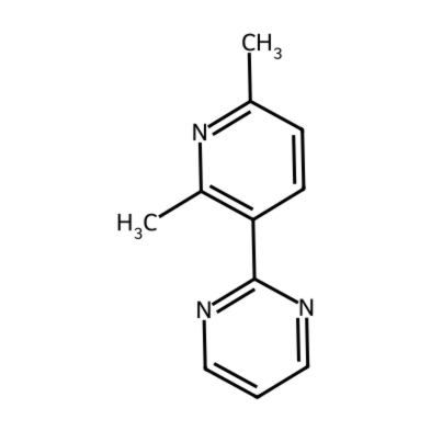 Cc1ccc(-c2ncccn2)c(C)n1